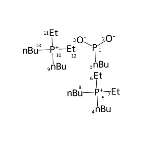 CCCCP([O-])[O-].CCCC[P+](CC)(CC)CCCC.CCCC[P+](CC)(CC)CCCC